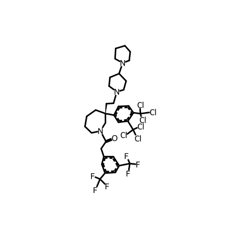 O=C(Cc1cc(C(F)(F)F)cc(C(F)(F)F)c1)N1CCCC[C@](CCN2CCC(N3CCCCC3)CC2)(c2ccc(C(Cl)(Cl)Cl)c(C(Cl)(Cl)Cl)c2)C1